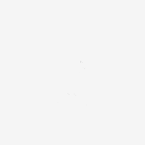 Cc1cc(C)n(-c2cccc(C(=O)NNSc3ccccc3F)c2)n1